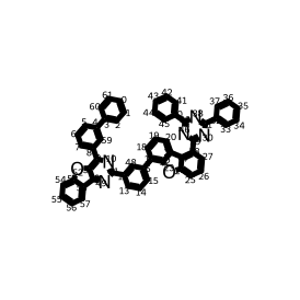 c1ccc(-c2cccc(-c3nc(-c4cccc(-c5cccc6c5oc5cccc(-c7nc(-c8ccccc8)nc(-c8ccccc8)n7)c56)c4)nc4c3oc3ccccc34)c2)cc1